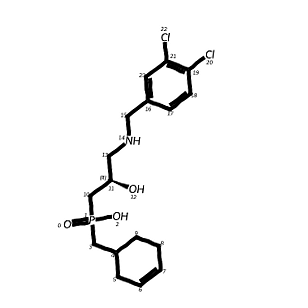 O=P(O)(CC1CC=CCC1)C[C@H](O)CNCc1ccc(Cl)c(Cl)c1